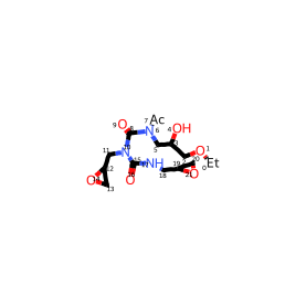 CCOCC(O)CN(C(C)=O)C(=O)N(CC1CO1)C(=O)NCC1CO1